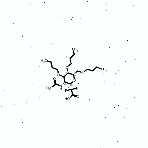 CCCCOC[C@H]1O[C@H](C(F)(F)C(=O)O)[C@H](NC(C)=O)[C@@H](OCCCC)[C@H]1OCCCC